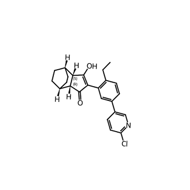 CCc1ccc(-c2ccc(Cl)nc2)cc1C1=C(O)[C@H]2[C@H]3CC[C@H](CC3)[C@H]2C1=O